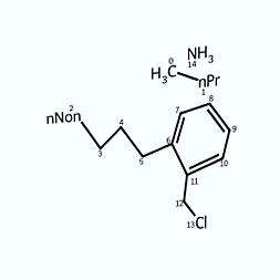 CCCC.CCCCCCCCCCCCc1ccccc1CCl.N